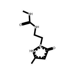 CNC(=O)NCCn1[nH]c(C)cc1=O